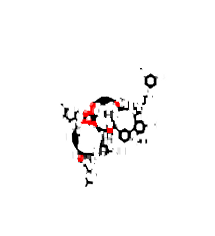 CN[C@H](CC(C)C)C(=O)N[C@H]1C(=O)N[C@@H](CC(N)=O)C(=O)NC2C(=O)N[C@H]3C(=O)N[C@H](C(=O)NC(C(=O)NCC(=O)Nc4cc(OC)cc(OC)c4)c4cc(O)cc(O)c4-c4cc3ccc4O)[C@H](O)c3ccc(c(Cl)c3)Oc3cc2cc(c3O[C@@H]2O[C@H](CO)[C@@H](O)[C@H](O)[C@H]2OC2C[C@](C)(N)[C@H](O)[C@H](C)O2)Oc2ccc(cc2Cl)[C@H]1O